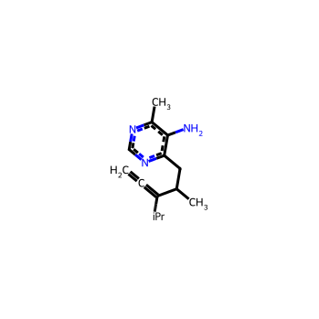 C=C=C(C(C)C)C(C)Cc1ncnc(C)c1N